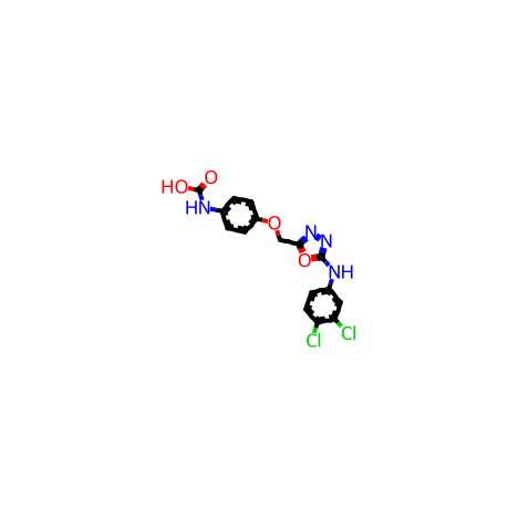 O=C(O)Nc1ccc(OCc2nnc(Nc3ccc(Cl)c(Cl)c3)o2)cc1